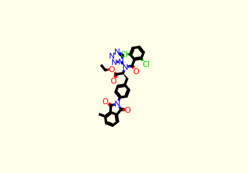 CCOC(=O)[C@H](Cc1ccc(N2C(=O)c3cccc(C)c3C2=O)cc1)N(C(=O)c1c(Cl)cccc1Cl)n1cnnn1